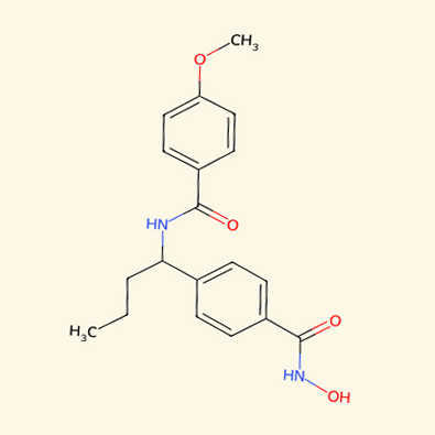 CCCC(NC(=O)c1ccc(OC)cc1)c1ccc(C(=O)NO)cc1